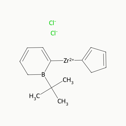 CC(C)(C)B1CC=CC=[C]1[Zr+2][C]1=CC=CC1.[Cl-].[Cl-]